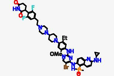 CCc1cc(Nc2ncc(Br)c(Nc3ccc4nc(NC5CC5)ccc4c3P(C)(C)=O)n2)c(OC)cc1N1CCC(N2CCN(CCc3cc(F)c(C4CCC(=O)NC4=O)c(F)c3)CC2)CC1